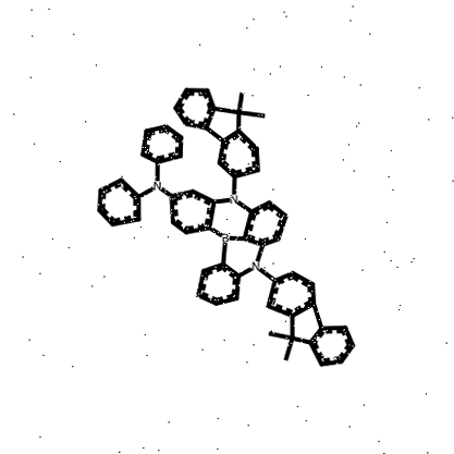 CC1(C)c2ccccc2-c2cc(N3c4cc(N(c5ccccc5)c5ccccc5)ccc4B4c5ccccc5N(c5ccc6c(c5)C(C)(C)c5ccccc5-6)c5cccc3c54)ccc21